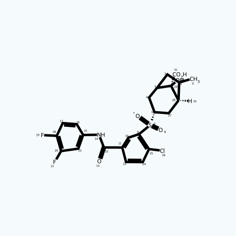 CC1CC2C[C@@H](S(=O)(=O)c3cc(C(=O)Nc4ccc(F)c(F)c4)ccc3Cl)C[C@H]1[C@@]2(O)C(=O)O